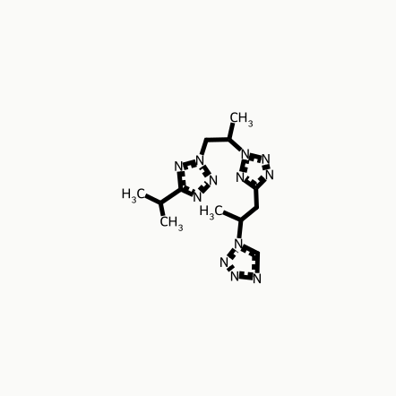 CC(C)c1nnn(CC(C)n2nnc(CC(C)n3cnnn3)n2)n1